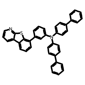 c1ccc(-c2ccc(N(c3ccc(-c4ccccc4)cc3)c3cccc(-c4cccc5c4sc4ncccc45)c3)cc2)cc1